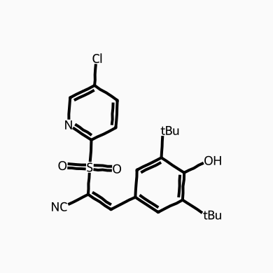 CC(C)(C)c1cc(C=C(C#N)S(=O)(=O)c2ccc(Cl)cn2)cc(C(C)(C)C)c1O